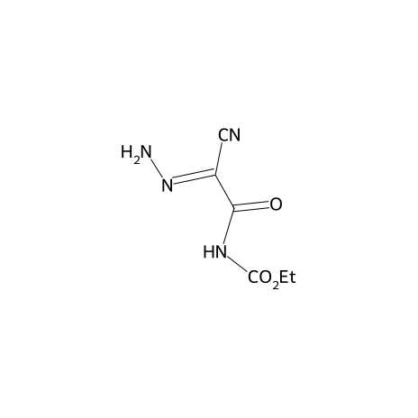 CCOC(=O)NC(=O)C(C#N)=NN